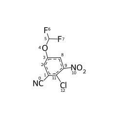 N#Cc1cc(OC(F)F)cc([N+](=O)[O-])c1Cl